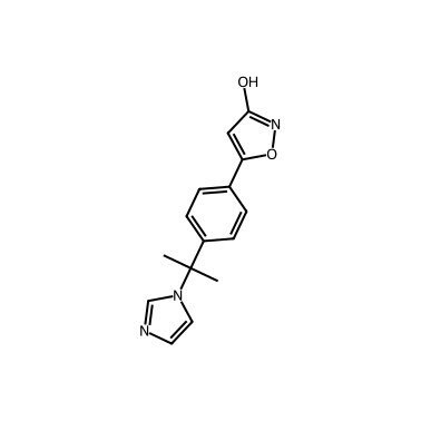 CC(C)(c1ccc(-c2cc(O)no2)cc1)n1ccnc1